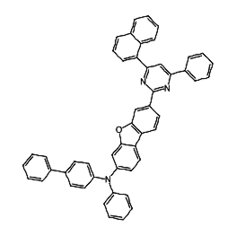 c1ccc(-c2ccc(N(c3ccccc3)c3ccc4c(c3)oc3cc(-c5nc(-c6ccccc6)cc(-c6cccc7ccccc67)n5)ccc34)cc2)cc1